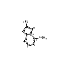 CCc1cc2nccc(N)n2n1